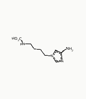 Nc1cn(CCCCNC(=O)O)cn1